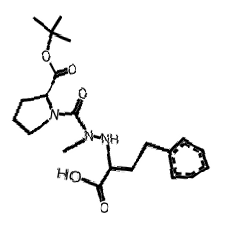 CN(NC(CCc1ccccc1)C(=O)O)C(=O)N1CCC[C@H]1C(=O)OC(C)(C)C